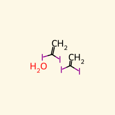 C=C(I)I.C=C(I)I.O